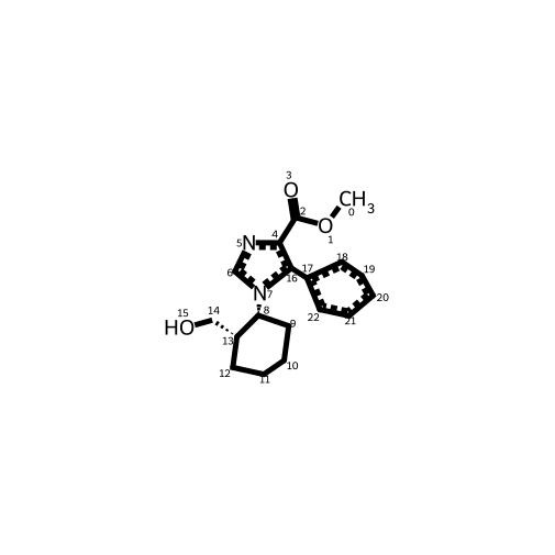 COC(=O)c1ncn([C@@H]2CCCC[C@@H]2CO)c1-c1ccccc1